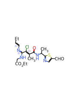 CC/C=C/N=C(NCC(=O)OCC)\C(Cl)=C(/C)C(=O)NC(C)c1ncc(C=O)s1